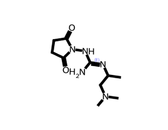 CC(CN(C)C)/N=C(\N)NN1C(=O)CCC1=O